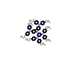 Cc1ccc(N(c2ccc(C)cc2)c2cc(N(c3ccc(C)cc3)c3ccc(C)cc3)cc(-n3c4ccc(N(c5ccc(C)cc5)c5ccc(C)cc5)cc4c4cc(N(c5ccc(C)cc5)c5ccc(C)cc5)ccc43)c2)cc1